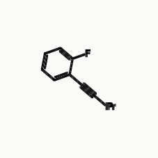 CC(C)C#Cc1ccccc1F